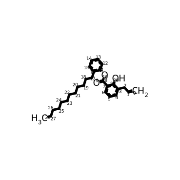 C=CCc1cccc(C(=O)Oc2ccccc2CCCCCCCCCCCC)c1O